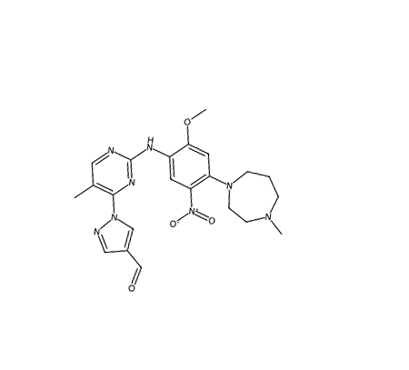 COc1cc(N2CCCN(C)CC2)c([N+](=O)[O-])cc1Nc1ncc(C)c(-n2cc(C=O)cn2)n1